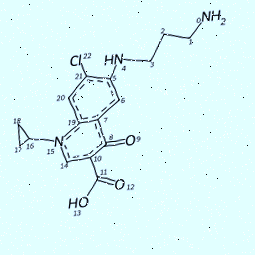 NCCCNc1cc2c(=O)c(C(=O)O)cn(C3CC3)c2cc1Cl